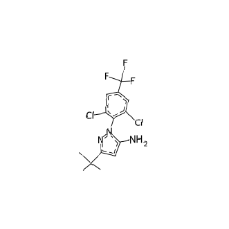 CC(C)(C)c1cc(N)n(-c2c(Cl)cc(C(F)(F)F)cc2Cl)n1